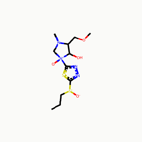 CCC[S+]([O-])c1nnc([N+]2([O-])CN(C)C(COC)C2O)s1